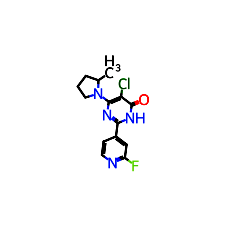 CC1CCCN1c1nc(-c2ccnc(F)c2)[nH]c(=O)c1Cl